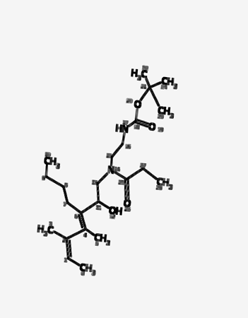 C/C=C(C)\C(C)=C(/CCCC)C(O)CN(CCNC(=O)OC(C)(C)C)C(=O)CC